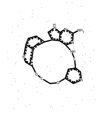 Nc1nc2c3c(c[nH]c3n1)-c1ccc3ncc(cc3c1)OCCOc1cncc(c1)CN2